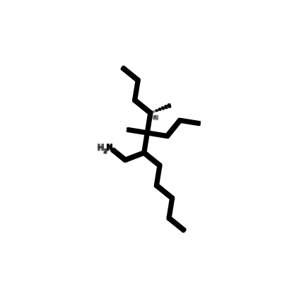 CCCCCC(CN)C(C)(CCC)[C@@H](C)CCC